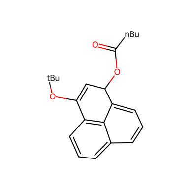 CCCCC(=O)OC1C=C(OC(C)(C)C)c2cccc3cccc1c23